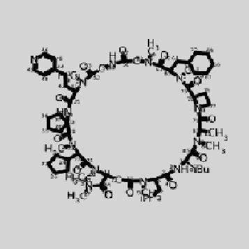 CC[C@H](C)C1NC(=O)C(CC(C)C)N(C)C(=O)CC(C(=O)N(C)C)N(C)C(=O)C(C2CCCC2)N(C)C(=O)C2(CCCC2)NC(=O)C(CCc2ccncc2)N(C)C(=O)CNC(=O)CN(C)C(=O)C(CC2CCCCC2)N(C)C(=O)C2CCN2C(=O)C(C)N(C)C1=O